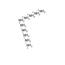 N.N.N.N.N.N.N.N.N.N